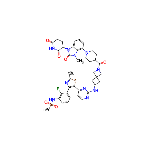 CCCS(=O)(=O)Nc1cccc(-c2nc(C(C)(C)C)sc2-c2ccnc(NC3CC4(C3)CN(C(=O)C3CCN(c5cccc6c5n(C)c(=O)n6[C@@H]5CCC(=O)NC5=O)CC3)C4)n2)c1F